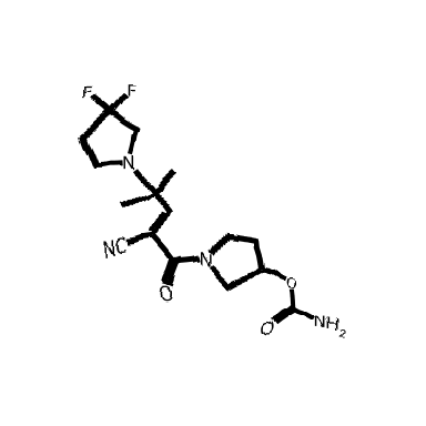 CC(C)(C=C(C#N)C(=O)N1CCC(OC(N)=O)C1)N1CCC(F)(F)C1